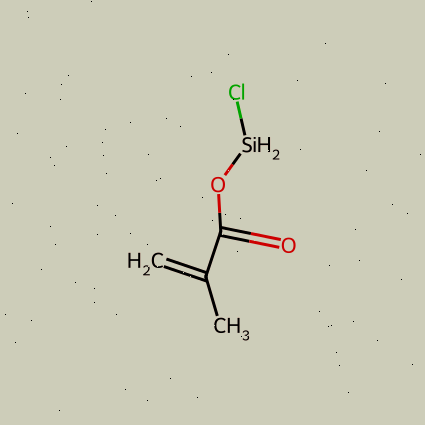 C=C(C)C(=O)O[SiH2]Cl